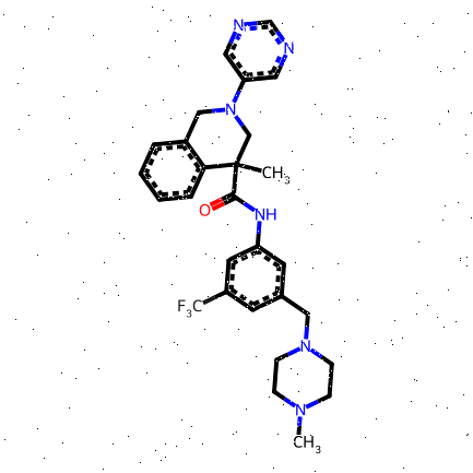 CN1CCN(Cc2cc(NC(=O)C3(C)CN(c4cncnc4)Cc4ccccc43)cc(C(F)(F)F)c2)CC1